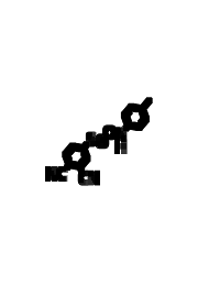 Cc1ccc(NOOSc2ccc(C#N)c(C#N)c2)cc1